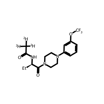 [2H]C([2H])([2H])C(=O)N[C@H](CC)C(=O)N1CCN(c2cccc(OC(F)(F)F)c2)CC1